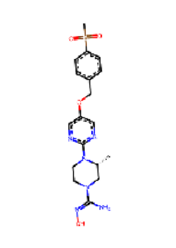 C[C@@H]1CN(/C(N)=N/O)CCN1c1ncc(OCc2ccc(S(C)(=O)=O)cc2)cn1